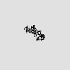 Cn1cnnc1[C@@H](c1cccc(-n2cc3c(C(F)(F)F)cc(CN4CCC(F)(F)CC4)cn3c2=O)c1)C1CCC1